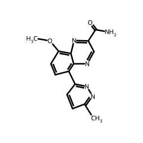 COc1ccc(-c2ccc(C)nn2)c2ncc(C(N)=O)nc12